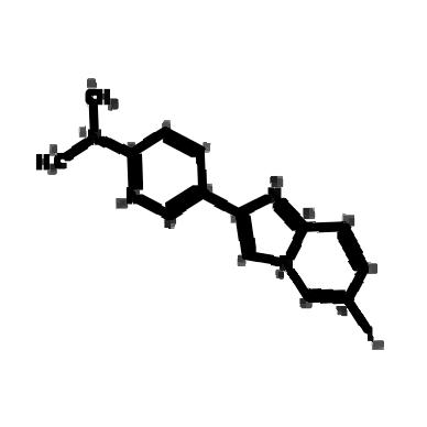 CN(C)c1ccc(-c2cn3cc(I)ccc3n2)cn1